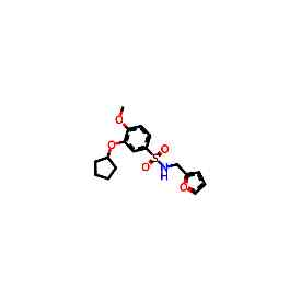 COc1ccc(S(=O)(=O)NCc2ccco2)cc1OC1CCCC1